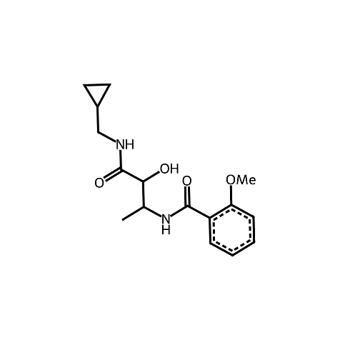 COc1ccccc1C(=O)NC(C)C(O)C(=O)NCC1CC1